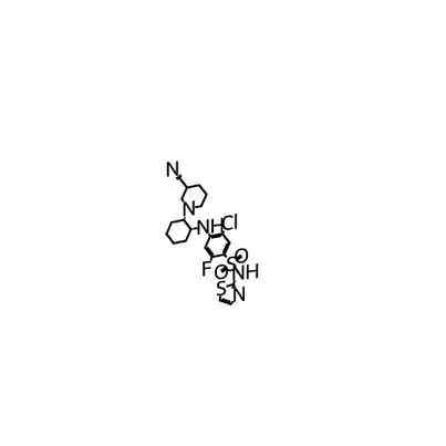 N#CC1CCCN([C@H]2CCCC[C@@H]2Nc2cc(F)c(S(=O)(=O)Nc3nccs3)cc2Cl)C1